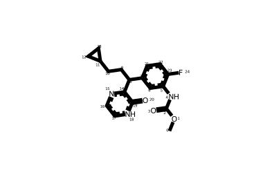 COC(=O)Nc1cc(C(CCC2CC2)c2ncc[nH]c2=O)ccc1F